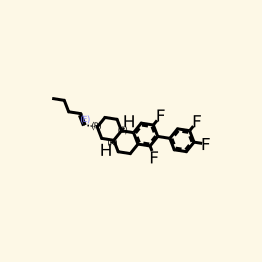 CCC/C=C/[C@@H]1CC[C@@H]2c3cc(F)c(-c4ccc(F)c(F)c4)c(F)c3CC[C@@H]2C1